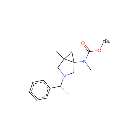 C[C@H](c1ccccc1)N1CC2(C)CC2(N(C)C(=O)OC(C)(C)C)C1